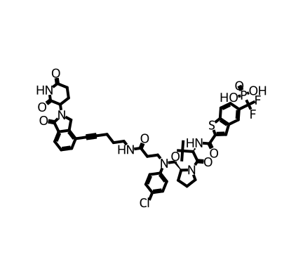 CC(C)(C)[C@H](NC(=O)c1cc2cc(C(F)(F)P(=O)(O)O)ccc2s1)C(=O)N1CCC[C@H]1C(=O)N(CCC(=O)NCCCC#Cc1cccc2c1CN(C1CCC(=O)NC1=O)C2=O)c1ccc(Cl)cc1